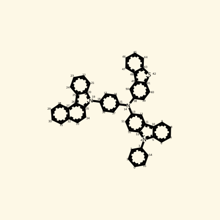 c1ccc(-n2c3ccccc3c3cc(N(c4ccc(-n5c6ccccc6c6c7ccccc7ccc65)cc4)c4ccc5sc6ccccc6c5c4)ccc32)cc1